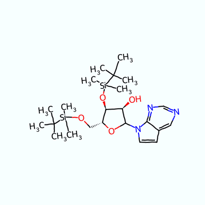 CC(C)(C)[Si](C)(C)OC[C@H]1OC(n2ccc3cncnc32)[C@H](O)[C@@H]1O[Si](C)(C)C(C)(C)C